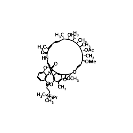 CO[C@H]1/C=C/O[C@@]2(C)Oc3c(C)c(O)c4c(=O)c(c5oc6cccc(OCC[N+](C)(C)C(C)C)c6nc-5c4c3C2=O)NC(=O)/C(C)=C\C=C\[C@H](C)[C@H](O)[C@@H](C)[C@@H](C)[C@@H](C)[C@H](OC(C)=O)[C@@H]1C